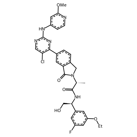 CCOc1cc(F)cc([C@@H](CO)NC(=O)[C@@H](C)N2Cc3ccc(-c4nc(Nc5ccnc(OC)c5)ncc4Cl)cc3C2=O)c1